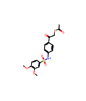 COc1ccc(S(=O)(=O)Nc2ccc(C(=O)CSC(C)=O)cc2)cc1OC